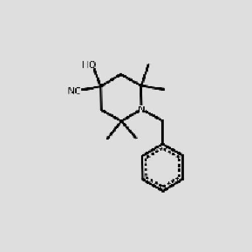 CC1(C)CC(O)(C#N)CC(C)(C)N1Cc1ccccc1